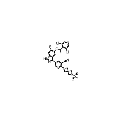 CC(Oc1cc2c(-c3cnc(N4CC5(C4)CN(S(C)(=O)=O)C5)c(C#N)c3)n[nH]c2cc1F)c1c(Cl)cncc1Cl